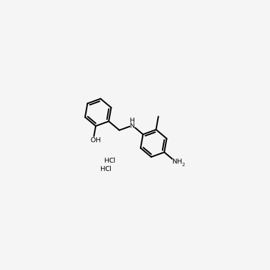 Cc1cc(N)ccc1NCc1ccccc1O.Cl.Cl